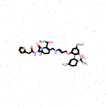 C=C(C)[C@@H]1CCC(C)=C[C@H]1c1c(O)cc(CCCCC)cc1OC/C=C/NCC1=C(C(O)OCC(C)C)N2C(=O)[C@@H](NC(=O)Cc3cccs3)[C@H]2CC1